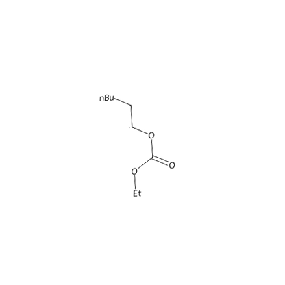 CCCCC[CH]OC(=O)OCC